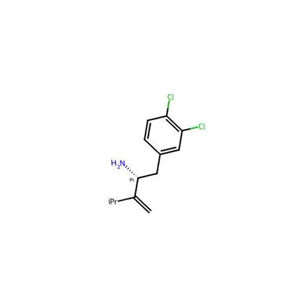 C=C(C(C)C)[C@H](N)Cc1ccc(Cl)c(Cl)c1